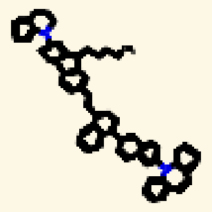 CCCCCC1c2cc(/C=C/c3ccc(-c4ccc5cc(N6c7ccccc7C=Cc7ccccc76)ccc5c4)c4ccccc34)ccc2-c2ccc(N3CCCc4ccccc43)cc21